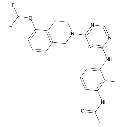 CC(=O)Nc1cccc(Nc2ncnc(N3CCc4c(cccc4OC(F)F)C3)n2)c1C